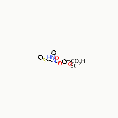 CCOC(Cc1ccc(OCCN(CCCCSc2ccccc2)C(=O)Nc2ccccc2)cc1)C(=O)O